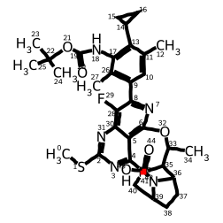 CSc1nc2c3c(nc(-c4cc(C)c(C5CC5)c(NC(=O)OC(C)(C)C)c4C)c(F)c3n1)OC(C)C1C3CCC(CN21)N3C(=O)O